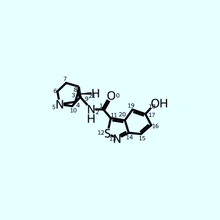 O=C(N[C@@H]1CN2CCC1CC2)c1snc2ccc(O)cc12